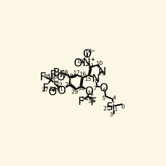 C[Si](C)(C)CCOCn1ncc([N+](=O)[O-])c1-c1cc(Br)c(OS(=O)(=O)C(F)(F)F)cc1OC(F)F